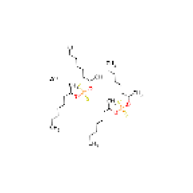 CCCCCCC(C)OP(=S)([S-])OC(C)CCCCCC.CCCCCCC(C)OP(=S)([S-])OC(C)CCCCCC.[Zn+2]